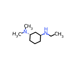 CCN[C@H]1CCC[C@H](N(C)C)C1